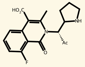 CC(=O)[C@@H](C1CCCN1)n1c(C)c(C(=O)O)c2cccc(F)c2c1=O